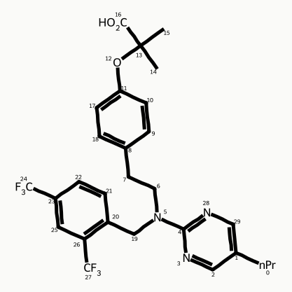 CCCc1cnc(N(CCc2ccc(OC(C)(C)C(=O)O)cc2)Cc2ccc(C(F)(F)F)cc2C(F)(F)F)nc1